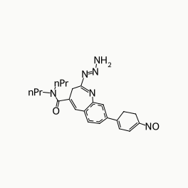 CCCN(CCC)C(=O)C1=Cc2ccc(C3=CC=C(N=O)CC3)cc2N=C(N=NN)C1